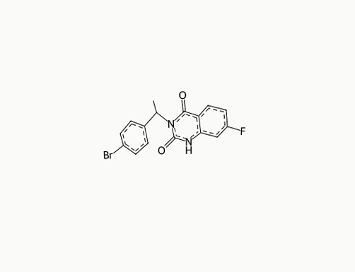 CC(c1ccc(Br)cc1)n1c(=O)[nH]c2cc(F)ccc2c1=O